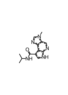 CC(C)NC(=O)c1c[nH]c2ncc3c(ncn3C)c12